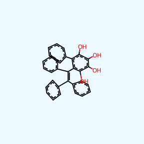 Oc1c(O)c(O)c(-c2ccccc2)c(C(=C(c2ccccc2)c2ccccc2)c2ccccc2)c1O